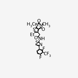 CCc1sc2c(c1CC(=O)Nc1nc(-c3ccc(F)c(C(F)(F)F)c3F)cs1)c(=O)n(C)c(=O)n2C